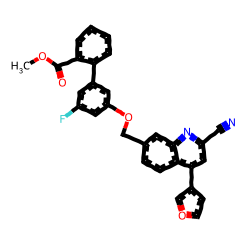 COC(=O)c1ccccc1-c1cc(F)cc(OCc2ccc3c(-c4ccoc4)cc(C#N)nc3c2)c1